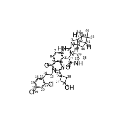 C[C@@H]1[C@@H](/N=C(/Nc2ccc3c(=O)n(CCc4ccc(Cl)cc4Cl)c(C4CC(O)C4)nc3c2)N2CC(=O)N[C@@H](C)C2)C[C@@H]2C[C@H]1C2(C)C